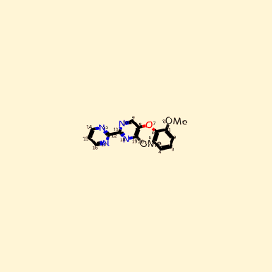 COc1ccccc1Oc1cnc(-c2ncccn2)nc1OC